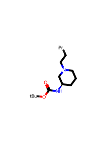 CC(C)CCN1CCC[C@@H](NC(=O)OC(C)(C)C)C1